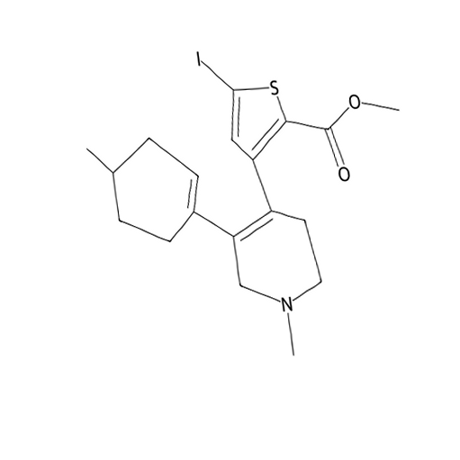 COC(=O)c1sc(I)cc1C1=C(C2=CCC(C)CC2)CN(C)CC1